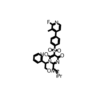 COCC(c1ccccc1)n1c(CCC(C)C)nc(=O)c(S(=O)(=O)c2ccc(-c3ccnc(F)c3C)cc2)c1O